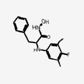 Cc1cc(NC(Cc2ccccc2)C(=O)NO)cc(C)c1F